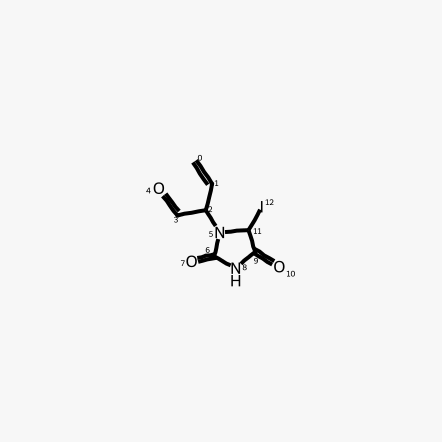 C=CC(C=O)N1C(=O)NC(=O)C1I